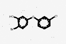 Oc1cc(Oc2cccc(Cl)c2)ccc1Br